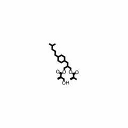 C=C(C)C(=O)OCC(COC(=O)C(=C)CO)CC1CCC(CCCC(C)C)CC1